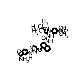 CC(C)(C)c1cc(NC(=O)Nc2ccc(Oc3ccnc(Nc4ccc5onc(N)c5c4)n3)c3ccccc23)n(-c2ccc(P(C)(C)=O)cc2)n1